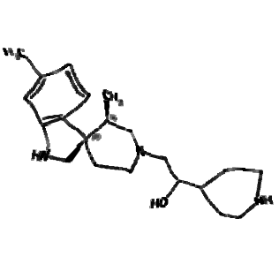 Cc1ccc2c(c1)NC[C@@]21CCN(CC(O)C2CCNCC2)C[C@@H]1C